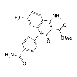 COC(=O)c1c(N)c2ccc(C(F)(F)F)cc2n(-c2ccc(C(N)=O)cc2)c1=O